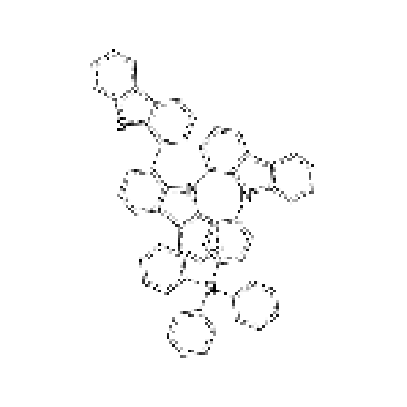 c1ccc([Si](c2ccccc2)(c2ccccc2)c2ccc(-n3c4ccccc4c4cccc(-n5c6ccccc6c6cccc(-c7cccc8c7sc7ccccc78)c65)c43)cc2)cc1